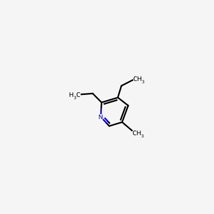 CCc1cc(C)cnc1CC